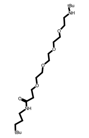 CC(C)(C)CCCNC(=O)CCOCCOCCOCCOCCNC(C)(C)C